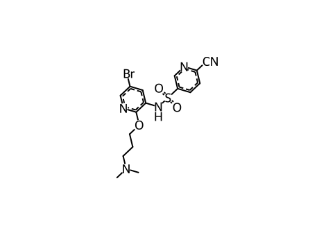 CN(C)CCCOc1ncc(Br)cc1NS(=O)(=O)c1ccc(C#N)nc1